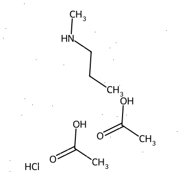 CC(=O)O.CC(=O)O.CCCNC.Cl